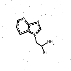 CCC(N)Cn1cnc2ncccc21